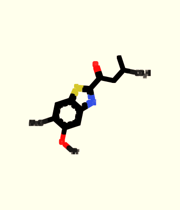 COc1cc2sc(C(=O)CC(C)C(=O)O)nc2cc1OC(C)C